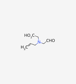 C=CCN(CC=O)CC(=O)O